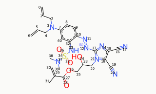 C=CCN(CC=C)c1ccc(/N=N/c2nc(C#N)c(C#N)n2CC(O)COC(=O)C(=C)C)c(NS(=O)(=O)N(C)C)c1